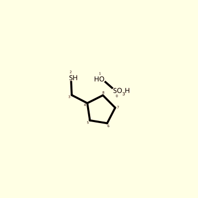 O=S(=O)(O)O.SCC1CCCC1